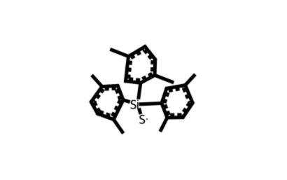 Cc1ccc(C)c([Si]([S])(c2cc(C)ccc2C)c2cc(C)ccc2C)c1